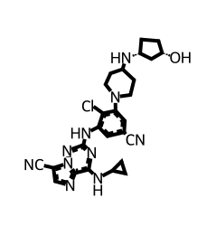 N#Cc1cc(Nc2nc(NC3CC3)c3ncc(C#N)n3n2)c(Cl)c(N2CCC(N[C@@H]3CC[C@H](O)C3)CC2)c1